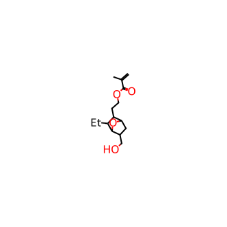 C=C(C)C(=O)OCCC1C2CC(CO)C(O2)C1CC